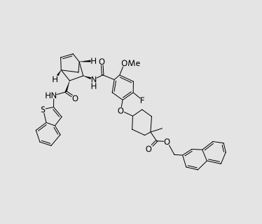 COc1cc(F)c(OC2CCC(C)(C(=O)OCc3ccc4ccccc4c3)CC2)cc1C(=O)N[C@H]1[C@@H](C(=O)Nc2cc3ccccc3s2)[C@@H]2C=C[C@H]1C2